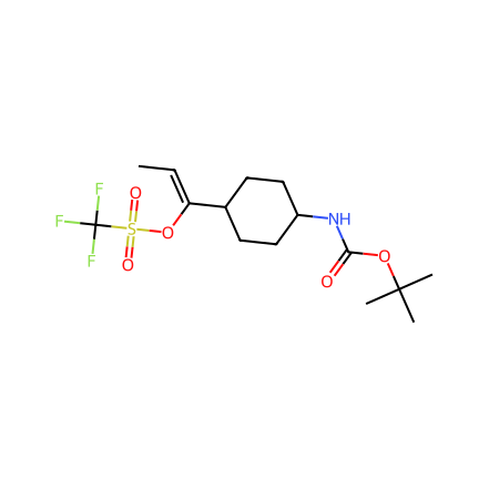 CC=C(OS(=O)(=O)C(F)(F)F)C1CCC(NC(=O)OC(C)(C)C)CC1